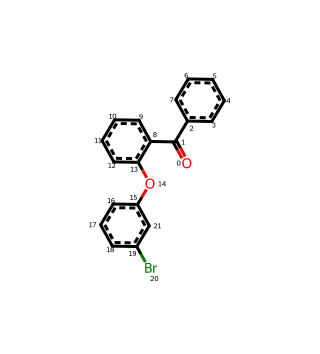 O=C(c1ccccc1)c1ccccc1Oc1cccc(Br)c1